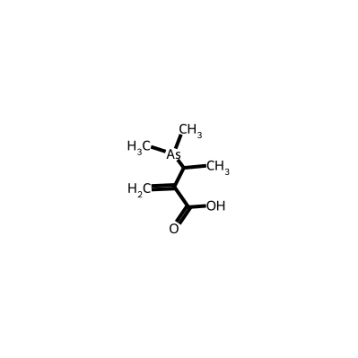 C=C(C(=O)O)C(C)[As](C)C